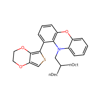 CCCCCCCCCCC(CCCCCCCC)CN1c2ccccc2Oc2cccc(-c3scc4c3OCCO4)c21